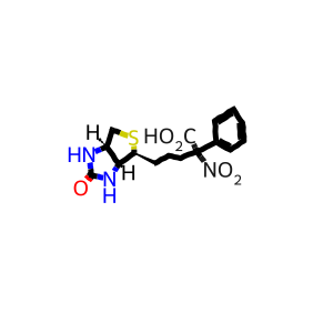 O=C1N[C@H]2[C@H](CS[C@H]2CCCC(C(=O)O)(c2ccccc2)[N+](=O)[O-])N1